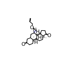 C=CCO/N=C1\CC2CC(=O)CC[C@]2(C)[C@@H]2CC[C@]3(C)C(=O)CC[C@H]3[C@H]12